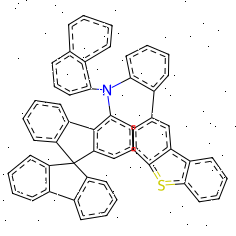 c1ccc(N(c2cccc3c2-c2ccccc2C32c3ccccc3-c3ccccc32)c2cccc3ccccc23)c(-c2ccc3sc4ccccc4c3c2)c1